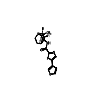 C[C@H]1[C@H](NC(=O)c2ncc(-c3ccsc3)s2)C2CCN1CC2